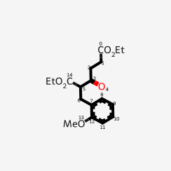 CCOC(=O)CCC(=O)C(Cc1ccccc1OC)C(=O)OCC